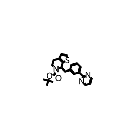 CC(C)(C)OC(=O)N1CCc2ccsc2C1Cc1cccc(-c2ncccn2)c1